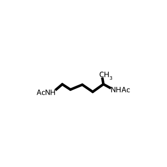 CC(=O)NCCCCC(C)NC(C)=O